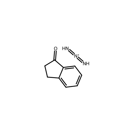 N=[N+]=N.O=C1CCc2ccccc21